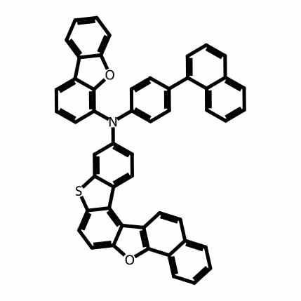 c1ccc2c(-c3ccc(N(c4ccc5c(c4)sc4ccc6oc7c8ccccc8ccc7c6c45)c4cccc5c4oc4ccccc45)cc3)cccc2c1